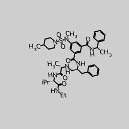 CCNC(=O)[C@@H](NC(=O)[C@H](C)NC[C@H](Cc1ccccc1)NC(=O)c1cc(C(=O)N[C@H](C)c2ccccc2)cc(N(C)S(=O)(=O)N2CCC(C)CC2)c1)C(C)C